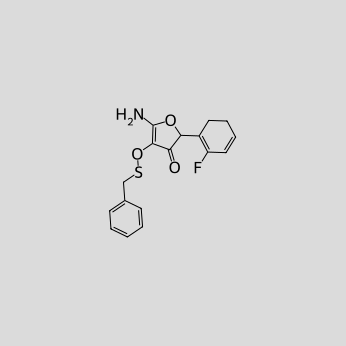 NC1=C(OSCc2ccccc2)C(=O)C(C2=C(F)C=CCC2)O1